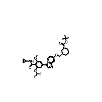 COc1cc(-c2cnc3cc(OC[C@@H]4CCCN(C(=O)OC(C)(C)C)C4)ccn23)cc(OC(F)F)c1C(=O)NC1CC1